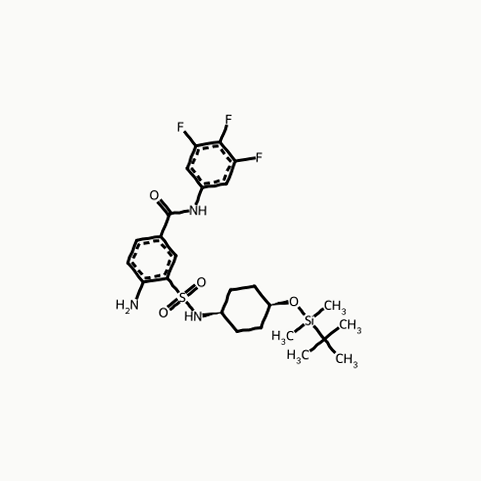 CC(C)(C)[Si](C)(C)O[C@H]1CC[C@@H](NS(=O)(=O)c2cc(C(=O)Nc3cc(F)c(F)c(F)c3)ccc2N)CC1